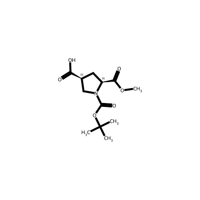 COC(=O)[C@@H]1C[C@H](C(=O)O)CN1C(=O)OC(C)(C)C